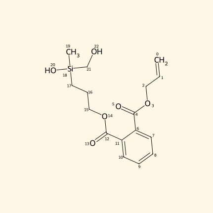 C=CCOC(=O)c1ccccc1C(=O)OCCC[Si](C)(O)CO